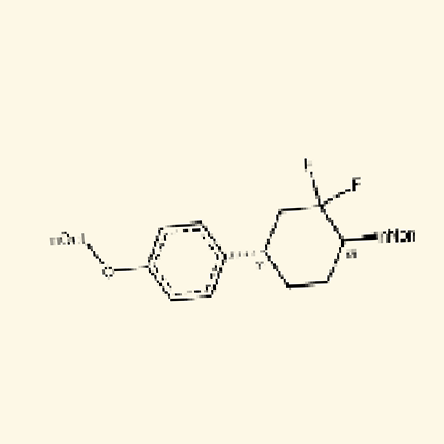 CCCCCCCCC[C@H]1CC[C@H](c2ccc(OCCCCCCCC)cc2)CC1(F)F